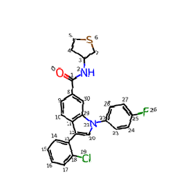 O=C(NC1CCSC1)c1ccc2c(-c3ccccc3Cl)cn(-c3ccc(F)cc3)c2c1